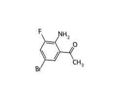 CC(=O)c1cc(Br)cc(F)c1N